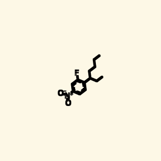 CCCCC(CC)c1ccc([N+](=O)[O-])cc1F